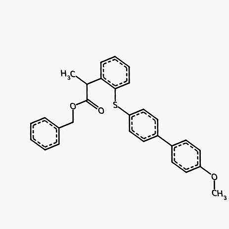 COc1ccc(-c2ccc(Sc3ccccc3C(C)C(=O)OCc3ccccc3)cc2)cc1